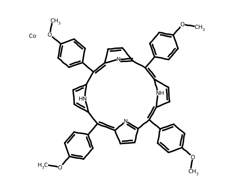 COc1ccc(-c2c3nc(c(-c4ccc(OC)cc4)c4ccc([nH]4)c(-c4ccc(OC)cc4)c4nc(c(-c5ccc(OC)cc5)c5ccc2[nH]5)C=C4)C=C3)cc1.[Co]